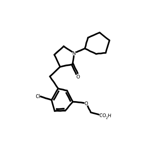 O=C(O)COc1ccc(Cl)c(CC2CCN(C3CCCCC3)C2=O)c1